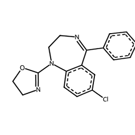 Clc1ccc2c(c1)C(c1ccccc1)=NCCN2C1=NCCO1